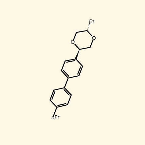 CCCc1ccc(-c2ccc([C@@H]3CO[C@@H](CC)CO3)cc2)cc1